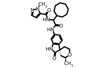 C[C@H]1C[C@]2(CCO1)C(=O)Nc1cc(NC(=O)C(NC(=O)c3ccnn3C)C3CCCCCCC3)ccc12